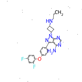 C=CCN[C@H]1C[C@@H](n2nc(-c3ccc(Oc4ccc(F)cc4F)cc3)c3c(N)ncnc32)C1